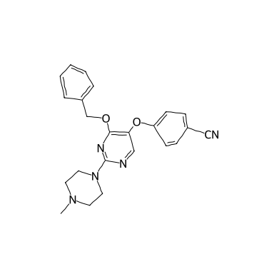 CN1CCN(c2ncc(Oc3ccc(C#N)cc3)c(OCc3ccccc3)n2)CC1